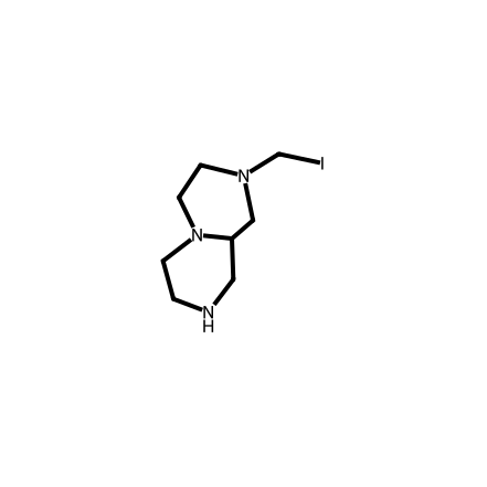 ICN1CCN2CCNCC2C1